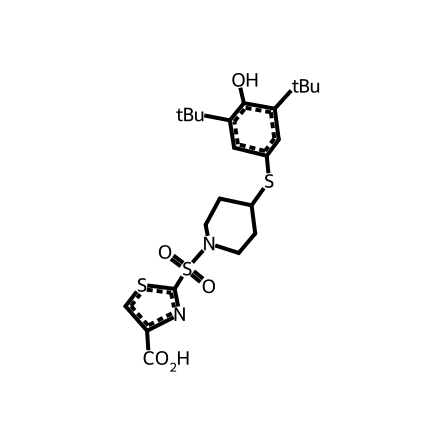 CC(C)(C)c1cc(SC2CCN(S(=O)(=O)c3nc(C(=O)O)cs3)CC2)cc(C(C)(C)C)c1O